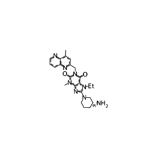 CCn1c(N2CCC[C@@H](N)C2)nc2c1c(=O)n(Cc1cc(C)c3ncccc3n1)c(=O)n2C